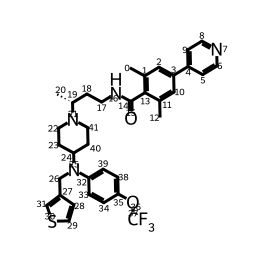 Cc1cc(-c2ccncc2)cc(C)c1C(=O)NCC[C@@H](C)N1CCC(N(Cc2ccsc2)c2ccc(OC(F)(F)F)cc2)CC1